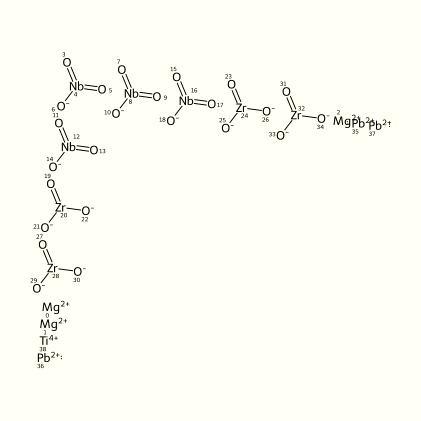 [Mg+2].[Mg+2].[Mg+2].[O]=[Nb](=[O])[O-].[O]=[Nb](=[O])[O-].[O]=[Nb](=[O])[O-].[O]=[Nb](=[O])[O-].[O]=[Zr]([O-])[O-].[O]=[Zr]([O-])[O-].[O]=[Zr]([O-])[O-].[O]=[Zr]([O-])[O-].[Pb+2].[Pb+2].[Pb+2].[Ti+4]